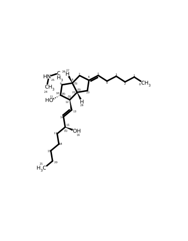 CCCCCC=C1C[C@H]2C[C@@H](O)[C@H](C=C[C@@H](O)CCCCC)[C@H]2C1.CNC